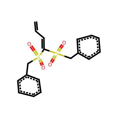 C=CC=C(S(=O)(=O)Cc1ccccc1)S(=O)(=O)Cc1ccccc1